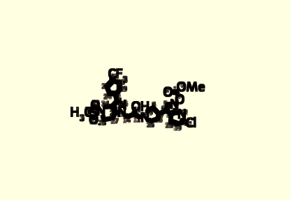 COC(=O)On1cc(C2CCN(CC(O)Cn3nc(-c4ccc(C(F)(F)F)cc4)c4c3CCN(S(C)(=O)=O)C4)CC2)c2ccc(Cl)nc21